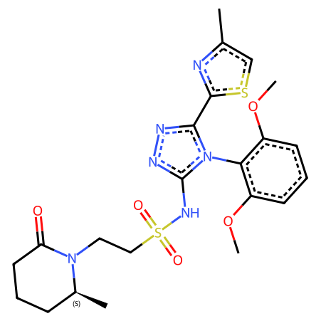 COc1cccc(OC)c1-n1c(NS(=O)(=O)CCN2C(=O)CCC[C@@H]2C)nnc1-c1nc(C)cs1